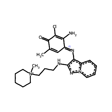 CC1=C/C(=N\c2c(NCCC[N+]3(C)CCCCC3)nn3ccccc23)C(N)=C(Cl)C1=O